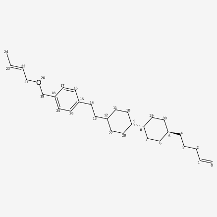 C=CCCC[C@H]1CC[C@H](C2CCC(CCc3ccc(COCC=CC)cc3)CC2)CC1